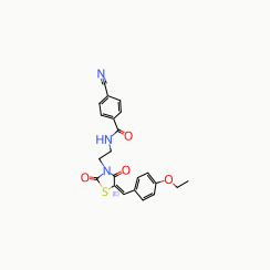 CCOc1ccc(/C=C2/SC(=O)N(CCNC(=O)c3ccc(C#N)cc3)C2=O)cc1